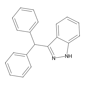 c1ccc(C(c2ccccc2)c2n[nH]c3ccccc23)cc1